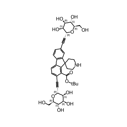 CC(C)(C)OC(=O)c1c(C#C[C@H]2O[C@H](CO)[C@@H](O)[C@H](O)[C@@H]2O)ccc2c1C1(CCNCC1)c1cc(C#C[C@H]3O[C@H](CO)[C@@H](O)[C@H](O)[C@@H]3O)ccc1-2